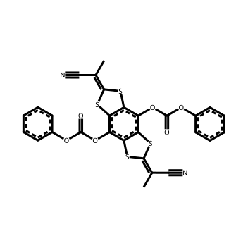 CC(C#N)=C1Sc2c(OC(=O)Oc3ccccc3)c3c(c(OC(=O)Oc4ccccc4)c2S1)SC(=C(C)C#N)S3